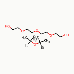 CCC(C)(C)OC(C)(C)CC.OCCOCCOCCOCCO